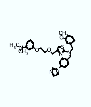 COc1cccc(CN(Cc2ccc(-n3ccnc3)cc2)c2nc(COCCOc3cccc(N(C)C)c3)cs2)c1